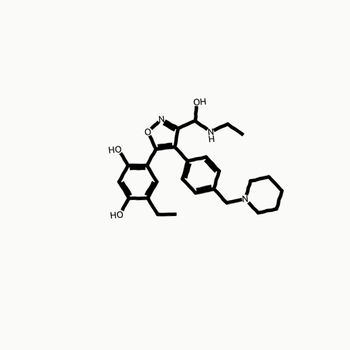 CCNC(O)c1noc(-c2cc(CC)c(O)cc2O)c1-c1ccc(CN2CCCCC2)cc1